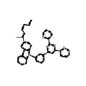 C=C/C=C\C=C(/C)c1ccc2c(c1)c1ccccc1n2-c1cccc(-c2cc(-c3ccccn3)nc(-c3ccccn3)n2)c1